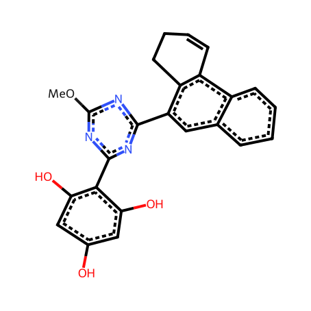 COc1nc(-c2cc3ccccc3c3c2CCC=C3)nc(-c2c(O)cc(O)cc2O)n1